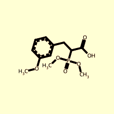 COc1cccc(CC(C(=O)O)P(=O)(OC)OC)c1